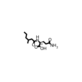 CCCC(C)CC(=O)N[C@@H](CCC(N)=O)C(=O)O